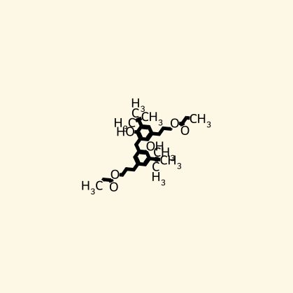 CCC(=O)OCCCc1cc(Cc2cc(CCCOC(=O)CC)cc(C(C)(C)C)c2O)c(O)c(C(C)(C)C)c1